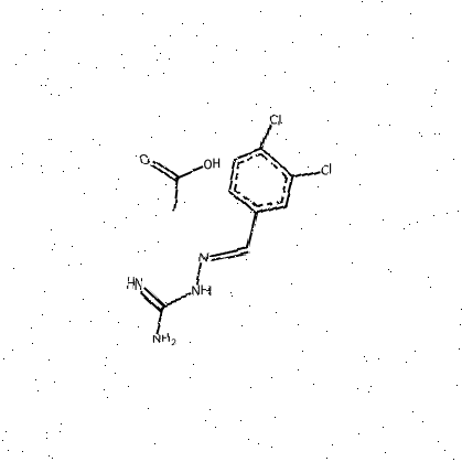 CC(=O)O.N=C(N)N/N=C/c1ccc(Cl)c(Cl)c1